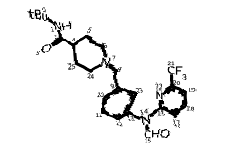 CC(C)(C)NC(=O)C1CCN(Cc2cccc(N(C=O)c3cccc(C(F)(F)F)n3)c2)CC1